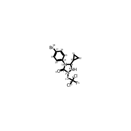 O=C1N(SC(F)(Cl)Cl)NC(C2CC2)N1c1ccc(Br)cc1